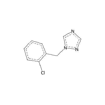 Clc1ccccc1Cn1cncn1